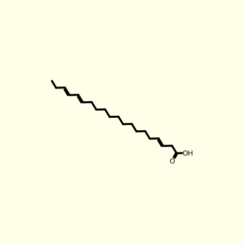 CC/C=C/C=C/CCCCCCCCCC/C=C/CC(=O)O